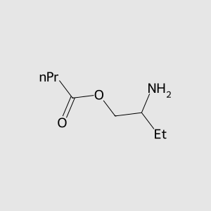 CCCC(=O)OCC(N)CC